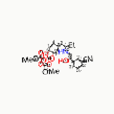 CCC(Cc1ccc2c(c1)OC(OC(=O)OC)(OC(=O)OC)O2)NCC(O)c1cccc(C#N)c1